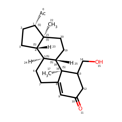 CC(=O)[C@H]1CC[C@H]2[C@@H]3CCC4=CC(=O)CC(CO)[C@]4(C)[C@H]3CC[C@]12C